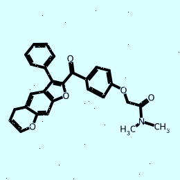 CN(C)C(=O)COc1ccc(C(=O)c2oc3cc4c(cc3c2-c2ccccc2)CC=CO4)cc1